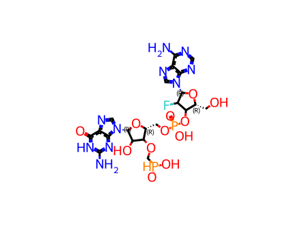 Nc1nc2c(ncn2[C@@H]2O[C@H](COP(=O)(O)OC3C(F)[C@H](n4cnc5c(N)ncnc54)O[C@@H]3CO)C(OC[PH](=O)O)C2O)c(=O)[nH]1